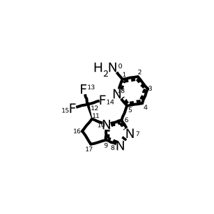 Nc1cccc(-c2nnc3n2[C@H](C(F)(F)F)CC3)n1